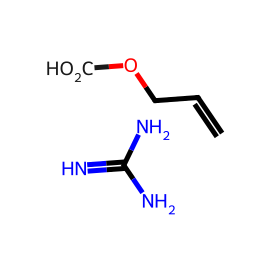 C=CCOC(=O)O.N=C(N)N